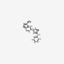 CC(C)c1nnc2ccc(-c3cnn(Cc4ccccc4)c3)cn12